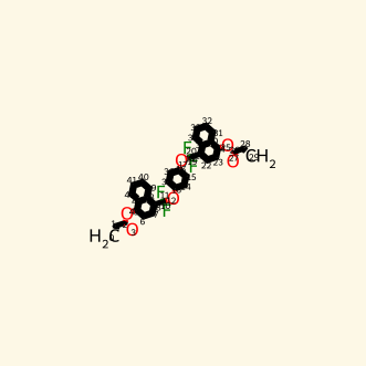 C=CC(=O)Oc1ccc(C(F)(F)Oc2ccc(OC(F)(F)c3ccc(OC(=O)C=C)c4ccccc34)cc2)c2ccccc12